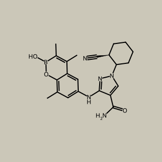 CC1=C(C)c2cc(Nc3nn(C4CCCC[C@@H]4C#N)cc3C(N)=O)cc(C)c2OB1O